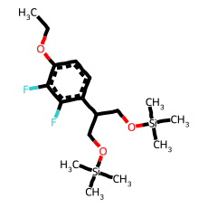 CCOc1ccc(C(CO[Si](C)(C)C)CO[Si](C)(C)C)c(F)c1F